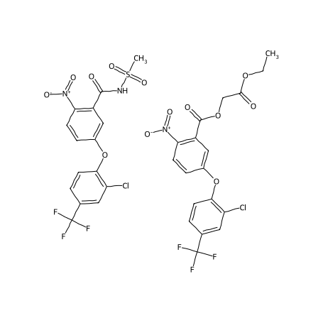 CCOC(=O)COC(=O)c1cc(Oc2ccc(C(F)(F)F)cc2Cl)ccc1[N+](=O)[O-].CS(=O)(=O)NC(=O)c1cc(Oc2ccc(C(F)(F)F)cc2Cl)ccc1[N+](=O)[O-]